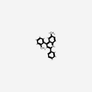 Cc1ccc2nc(-c3ccccc3)cc(-c3ccccc3C)c2c1